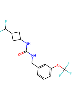 O=C(NCc1cccc(OC(F)(F)F)c1)NC1CC(C(F)F)C1